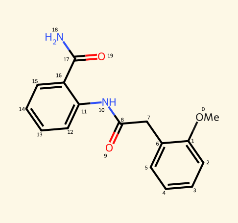 COc1ccccc1CC(=O)Nc1ccccc1C(N)=O